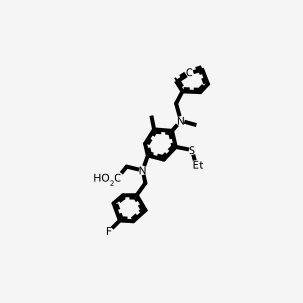 CCSc1cc(N(CC(=O)O)Cc2ccc(F)cc2)cc(C)c1N(C)Cc1ccccc1